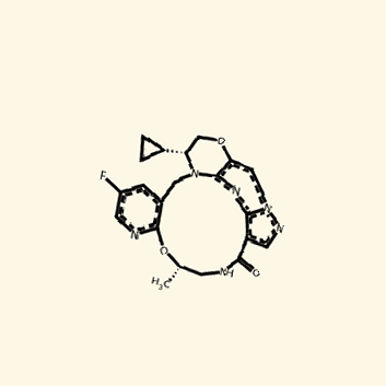 C[C@H]1CNC(=O)c2cnn3cc4c(nc23)N(Cc2cc(F)cnc2O1)[C@H](C1CC1)CO4